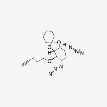 C#CCCCO[C@H]1[C@@H]2OC3(CCCCC3)O[C@H]2[C@H](N=[N+]=[N-])C[C@@H]1N=[N+]=[N-]